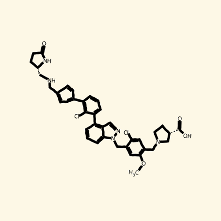 COc1cc(Cn2ncc3c(-c4cccc(-c5ccc(CNC[C@@H]6CCC(=O)N6)cc5)c4Cl)cccc32)c(Cl)cc1CN1CC[C@H](C(=O)O)C1